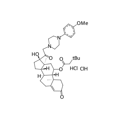 COc1ccc(N2CCN(CC(=O)[C@@]3(O)CC[C@H]4[C@@H]5CCC6=CC(=O)CC[C@]6(C)[C@H]5C(OC(=O)CC(C)(C)C)C[C@@]43C)CC2)cc1.Cl.Cl